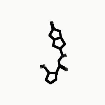 N#CC1CCCN1C(=O)CNC1CC2CC(=O)CC2C1